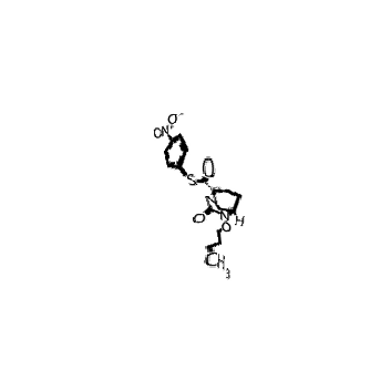 CCCCON1C(=O)N2C[C@@H]1CC[C@H]2C(=O)Sc1ccc([N+](=O)[O-])cc1